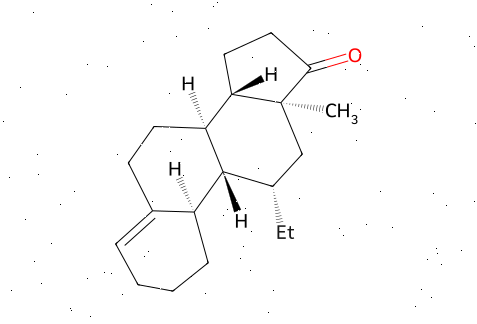 CC[C@H]1C[C@]2(C)C(=O)CC[C@H]2[C@@H]2CCC3=CCCC[C@@H]3[C@@H]12